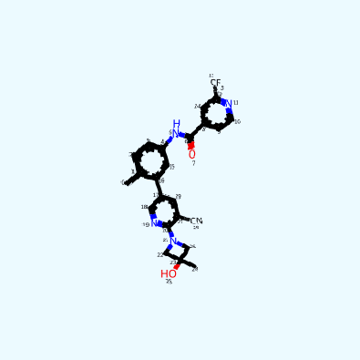 Cc1ccc(NC(=O)c2ccnc(C(F)(F)F)c2)cc1-c1cnc(N2CC(C)(O)C2)c(C#N)c1